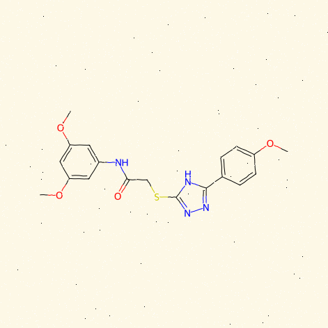 COc1ccc(-c2nnc(SCC(=O)Nc3cc(OC)cc(OC)c3)[nH]2)cc1